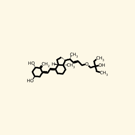 C=C1/C(=C\C=C2/CCC[C@]3(C)[C@@H]([C@H](C)/C=C/COCC(O)(CC)CC)CC[C@@H]23)C[C@@H](O)C[C@@H]1O